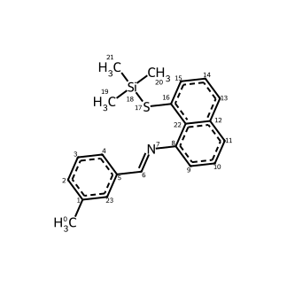 Cc1cccc(C=Nc2cccc3cccc(S[Si](C)(C)C)c23)c1